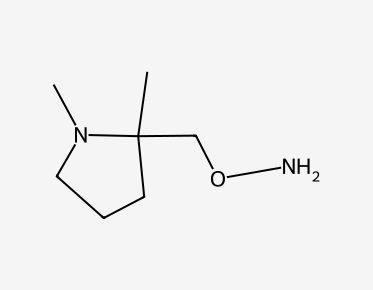 CN1CCCC1(C)CON